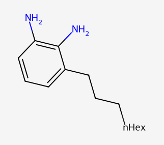 CCCCCCCCCc1cccc(N)c1N